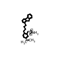 CN(C)c1ccc(CCCCc2cccc3c2Cc2ccccc2-3)c([CH2][Ti]([NH2])([Cl])[Cl])c1